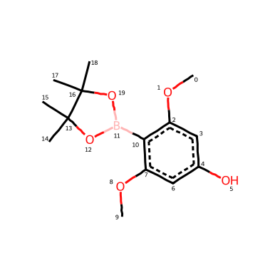 COc1cc(O)cc(OC)c1B1OC(C)(C)C(C)(C)O1